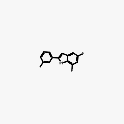 Cc1cccc(-c2cc3cc(F)cc(F)c3[nH]2)c1